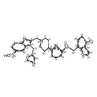 O=C(O)c1ccc2nc(CN3CCC(c4cccc(OCc5ccc(Cl)c6ccoc56)n4)CC3)n(Cc3cnco3)c2c1